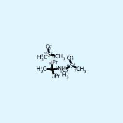 CC(C)C(C)(N)C(C)C.C[S+](C)[O-].C[S+](C)[O-]